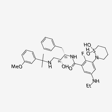 CCNc1cc(C(=O)N[C@@H](Cc2ccccc2)[C@H](O)CNC(C)(C)c2cccc(OC)c2)c(F)c(N2CCCCS2(O)O)c1